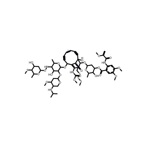 C=C(OC)C(=O)Nc1cc(OC)c(OC)cc1C(=O)OC1CC(OC2C(=O)C(NC(=O)OC)=C3/C(=C\CSSSC)C2(O)C#C/C=C\C#CC3OC2OC(C)C(NOC3CC(O)C(SC)C(C)O3)C(O)C2OC2CC(OC)C(NC(C)C)CO2)OC(C)C1O